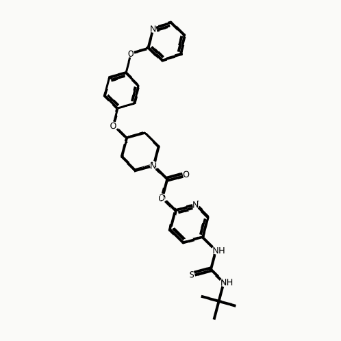 CC(C)(C)NC(=S)Nc1ccc(OC(=O)N2CCC(Oc3ccc(Oc4ccccn4)cc3)CC2)nc1